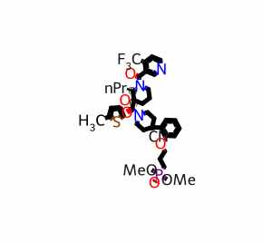 CCC[C@H]1N(C(=O)c2cnccc2C(F)(F)F)CCC[C@@]1(Oc1csc(C)c1)C(=O)N1CCC(C#N)(c2ccccc2OCCCP(=O)(OC)OC)CC1